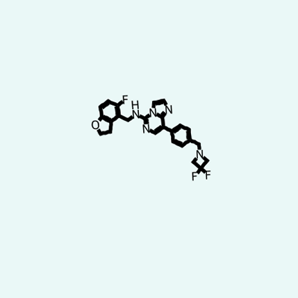 Fc1ccc2c(c1CNc1ncc(-c3ccc(CN4CC(F)(F)C4)cc3)c3nccn13)CCO2